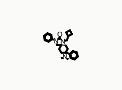 CN(C)[C@]1(c2ccccc2)CC[C@@]2(CC1)CN(c1ccccc1)C(=O)N2CC1CCC1